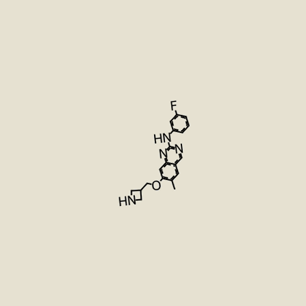 Cc1cc2cnc(Nc3cccc(F)c3)nc2cc1OCC1CNC1